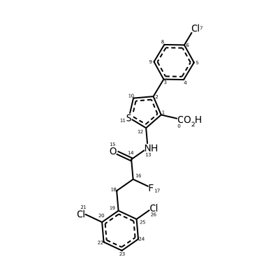 O=C(O)c1c(-c2ccc(Cl)cc2)csc1NC(=O)C(F)Cc1c(Cl)cccc1Cl